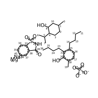 CC1CCC(C(C)C)C(O)C1.CCCCc1ccc(C)c(O)c1CCCC.O=C1NS(=O)(=O)c2ccccc21.O=P([O-])([O-])[O-].[Mg+2].[Na+]